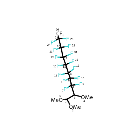 CO[C](OC)C(OC)C(F)(F)C(F)(F)C(F)(F)C(F)(F)C(F)(F)C(F)(F)C(F)(F)C(F)(F)F